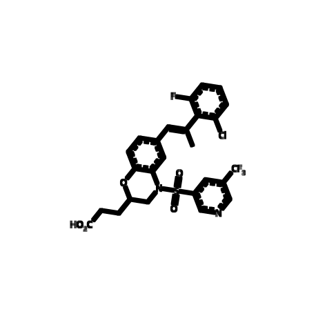 CC(=Cc1ccc2c(c1)N(S(=O)(=O)c1cncc(C(F)(F)F)c1)CC(CCC(=O)O)O2)c1c(F)cccc1Cl